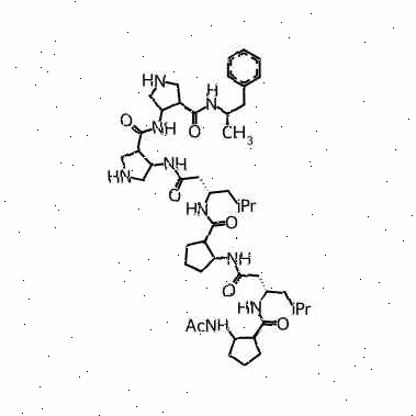 CC(=O)NC1CCCC1C(=O)N[C@H](CC(=O)NC1CCCC1C(=O)N[C@H](CC(=O)NC1CNCC1C(=O)NC1CNCC1C(=O)N[C@H](C)Cc1ccccc1)CC(C)C)CC(C)C